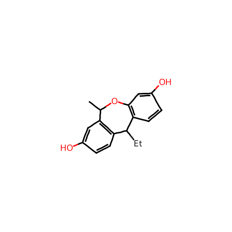 CCC1c2ccc(O)cc2OC(C)c2cc(O)ccc21